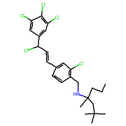 CCCC(C)(CC(C)(C)C)NCc1ccc(/C=C/C(Cl)c2cc(Cl)c(Cl)c(Cl)c2)cc1Cl